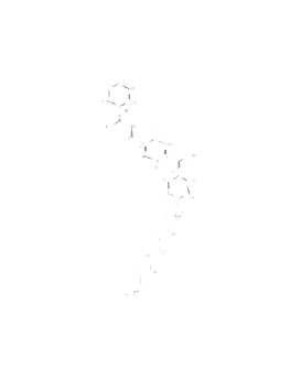 O=C(/C=C/c1ccc(C(=O)c2ccc(OCCCCCCCCO)cc2)cc1)c1ccccc1